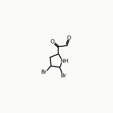 O=CC(=O)C1CC(Br)C(Br)N1